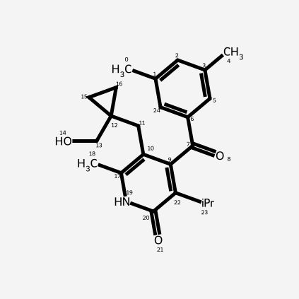 Cc1cc(C)cc(C(=O)c2c(CC3(CO)CC3)c(C)[nH]c(=O)c2C(C)C)c1